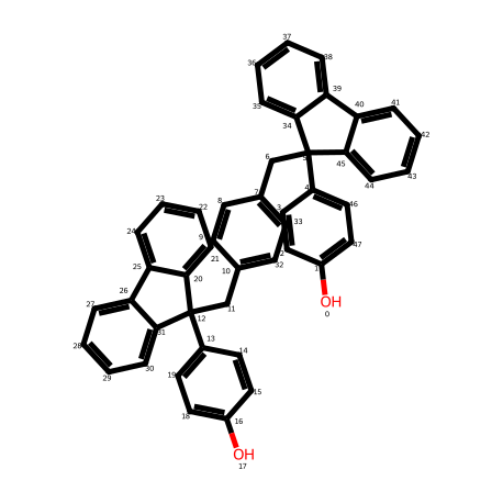 Oc1ccc(C2(Cc3ccc(CC4(c5ccc(O)cc5)c5ccccc5-c5ccccc54)cc3)c3ccccc3-c3ccccc32)cc1